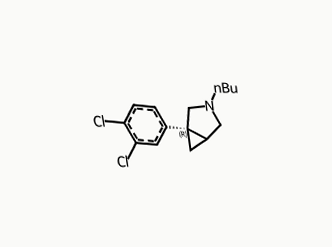 CCCCN1CC2C[C@@]2(c2ccc(Cl)c(Cl)c2)C1